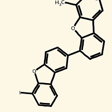 Cc1cccc2c1oc1c(-c3ccc4oc5c(I)cccc5c4c3)cccc12